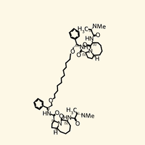 CN[C@@H](C)C(=O)N[C@H]1CCCC[C@H]2CC[C@@H](C(=O)N[C@H](COCCCCCCCCCCCCOC[C@@H](NC(=O)[C@@H]3CC[C@@H]4CCCC[C@H](NC(=O)[C@H](C)NC)C(=O)N43)c3ccccc3)c3ccccc3)N2C1=O